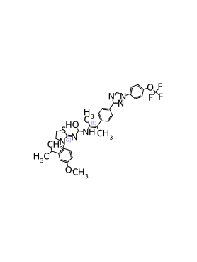 COc1ccc(N2CCS/C2=N\C(O)N/C(C)=C(\C)c2ccc(-c3ncn(-c4ccc(OC(F)(F)F)cc4)n3)cc2)c(C(C)C)c1